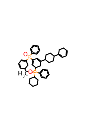 CC1C=CC=C(P(=O)(C2=CC(P(=O)(c3ccccc3)C3CCCCC3)CC(C3CCC(C4=CC=CCC4)CC3)=C2)c2ccccc2)C1